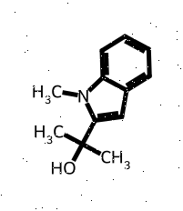 Cn1c(C(C)(C)O)cc2ccccc21